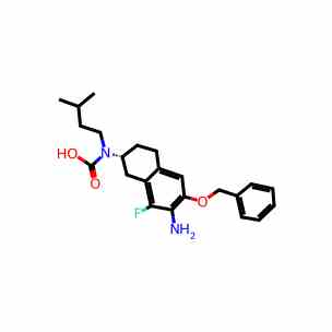 CC(C)CCN(C(=O)O)[C@@H]1CCc2cc(OCc3ccccc3)c(N)c(F)c2C1